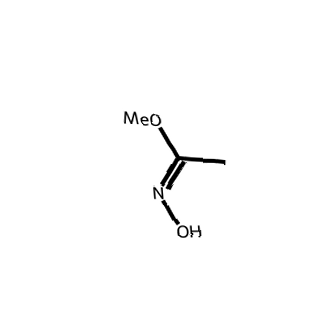 CO/C(C)=N/O